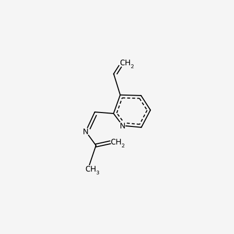 C=Cc1cccnc1/C=N\C(=C)C